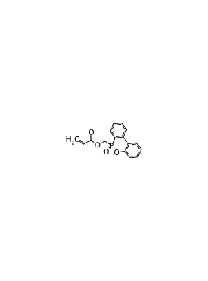 C=CC(=O)OCP1(=O)Oc2ccccc2-c2ccccc21